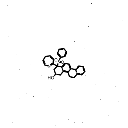 O=S(=O)(c1ccccc1)C1(C2=NC=CCC=C2)CC(O)Cc2c1ccc1c2CCc2ccccc2-1